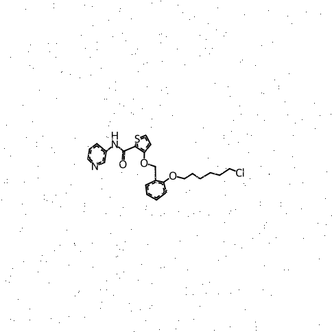 O=C(Nc1cccnc1)c1sccc1OCc1ccccc1OCCCCCCCl